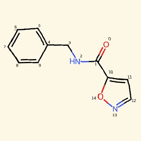 O=C(NCc1c[c]ccc1)c1ccno1